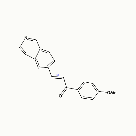 COc1ccc(C(=O)/C=C/c2ccc3cnccc3c2)cc1